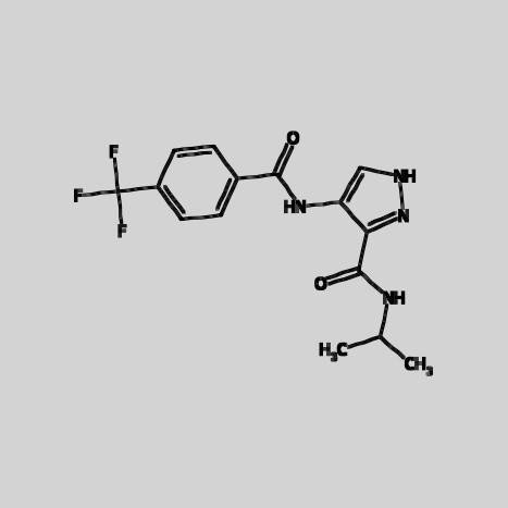 CC(C)NC(=O)c1n[nH]cc1NC(=O)c1ccc(C(F)(F)F)cc1